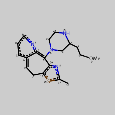 COCCC1CN(C2=c3ncccc3=CCc3sc(C)nc32)CCN1